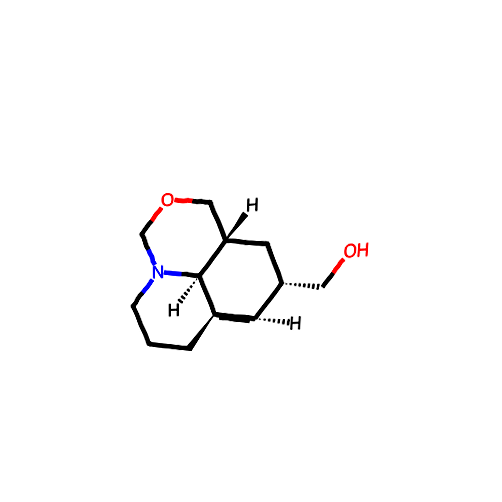 OC[C@H]1C[C@H]2COCN3CCC[C@@]4(CCCC[C@H]14)[C@H]23